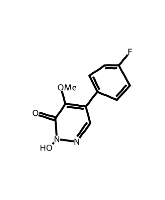 COc1c(-c2ccc(F)cc2)cnn(O)c1=O